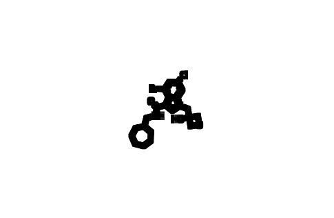 O=C(NCC1CCCCCC1)c1cn(CC2(O)COC2)c2cc(Cl)cc(Br)c12